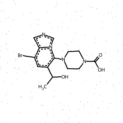 CC(O)c1cc(Br)c2cncn2c1N1CCN(C(=O)O)CC1